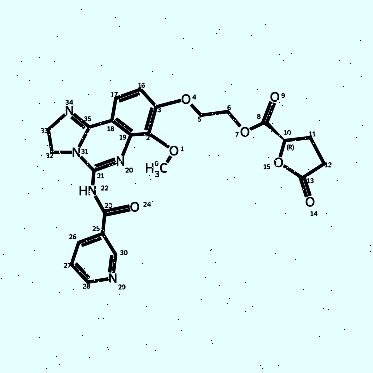 COc1c(OCCOC(=O)[C@H]2CCC(=O)O2)ccc2c1N=C(NC(=O)c1cccnc1)N1CCN=C21